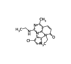 CCNc1nc(C)c2c(n1)[N+](CC)(c1ccc(Cl)s1)C(=O)C=C2